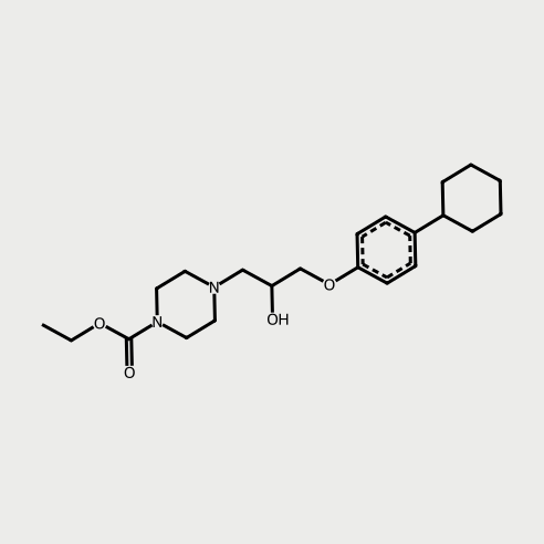 CCOC(=O)N1CCN(CC(O)COc2ccc(C3CCCCC3)cc2)CC1